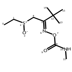 CC[S+]([O-])CC(=NOC(=O)NC)C(C)(C)C